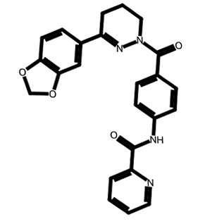 O=C(Nc1ccc(C(=O)N2CCCC(c3ccc4c(c3)OCO4)=N2)cc1)c1ccccn1